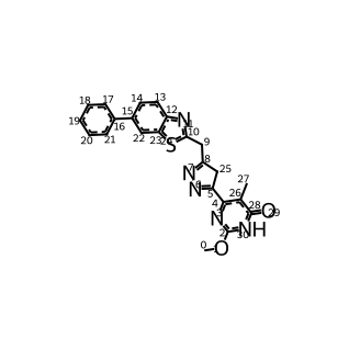 COc1nc(C2=NN=C(Cc3nc4ccc(-c5ccccc5)cc4s3)C2)c(C)c(=O)[nH]1